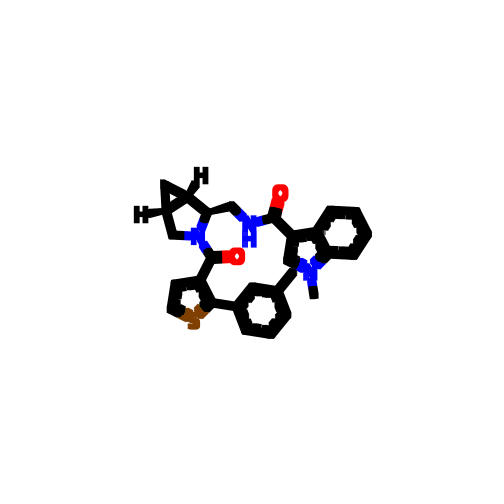 Cc1cccc(-c2sccc2C(=O)N2C[C@@H]3C[C@@H]3[C@H]2CNC(=O)c2cn(C)c3ccccc23)c1